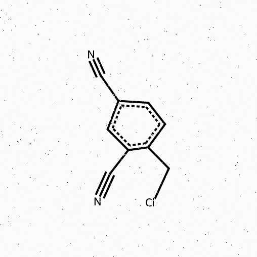 N#Cc1ccc(CCl)c(C#N)c1